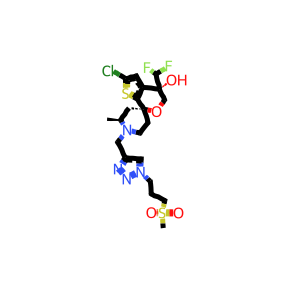 C[C@H]1C[C@@]2(CCN1Cc1cn(CCCS(C)(=O)=O)nn1)OC[C@](O)(C(F)F)c1cc(Cl)sc12